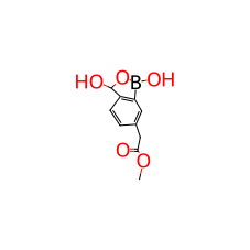 COC(=O)Cc1ccc2c(c1)B(O)OC2O